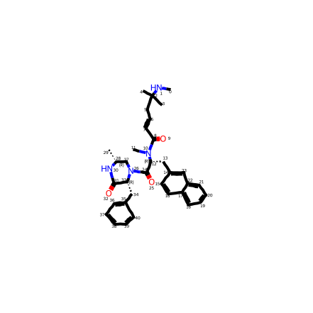 CNC(C)(C)CC=CC(=O)N(C)[C@H](Cc1ccc2ccccc2c1)C(=O)N1C[C@@H](C)NC(=O)[C@H]1Cc1ccccc1